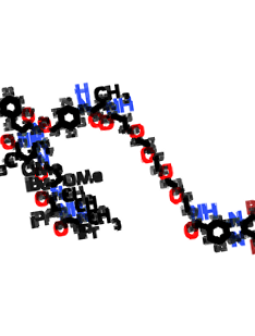 CCC(C)C(C(CC(=O)N1CCCC1C(OC)C(C)C(=O)NC(Cc1ccccc1)C(=O)NOCc1ccc(NC(=O)C(C)NC(=O)CCOCCOCCOCCOCCNC(=O)c2ccc3nc(CBr)c(CBr)nc3c2)cc1)OC)N(C)C(=O)C(NC(=O)C(C(C)C)N(C)C)C(C)C